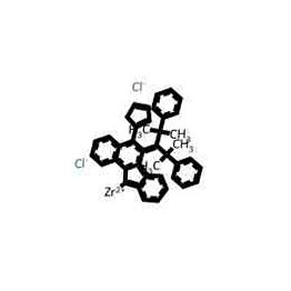 CC(C)(C(=c1c(C2=CC=CC2)c2ccccc2c2c1=c1ccccc1=[C]2[Zr+2])C(C)(C)c1ccccc1)c1ccccc1.[Cl-].[Cl-]